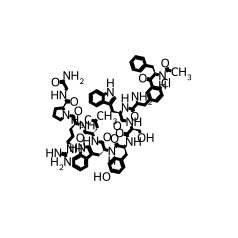 CC(=O)N[C@H](Cc1ccccc1)C(=O)c1cc(C[C@H](N)C(=O)N[C@H](Cc2c[nH]c3ccccc23)C(=O)N[C@@H](CO)C(=O)N[C@@H](Cc2ccc(O)cc2)C(=O)N[C@H](Cc2c[nH]c3ccccc23)C(=O)N[C@@H](CC(C)C)C(=O)N[C@@H](CCCNC(=N)N)C(=O)N2CCC[C@H]2C(=O)NCC(N)=O)ccc1Cl